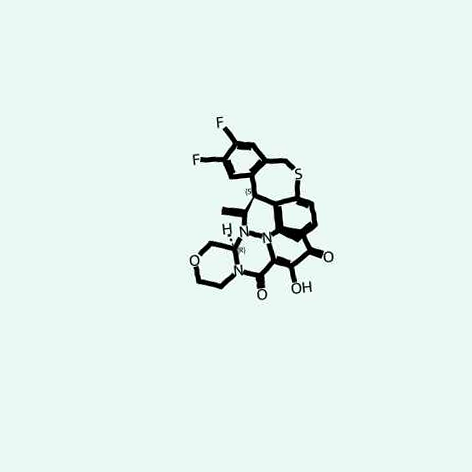 C=C([C@H]1c2cc(F)c(F)cc2CSc2ccccc21)N1[C@@H]2COCCN2C(=O)c2c(O)c(=O)ccn21